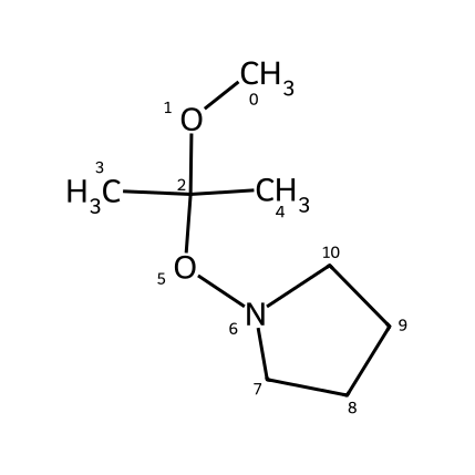 COC(C)(C)ON1CCCC1